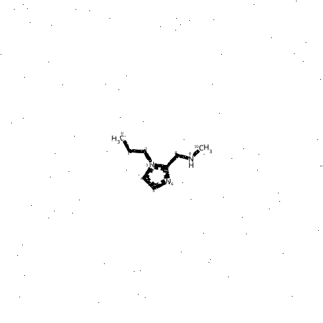 CCCn1ccnc1CNC